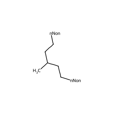 [CH2]CCCCCCCCCCC(C)CCCCCCCCCC[CH2]